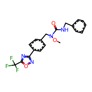 CON(Cc1ccc(-c2noc(C(F)(F)F)n2)cc1)C(=O)NCc1ccccc1